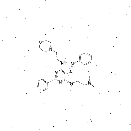 CN(C)CCN(C)c1nc(-c2ccccc2)nc(NCCN2CCOCC2)c1/N=N/c1ccccc1